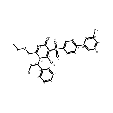 CCOCc1nc(=O)c(S(=O)(=O)c2ccc(-c3cncc(F)c3)cc2)c(O)n1C(CC)c1ccccc1